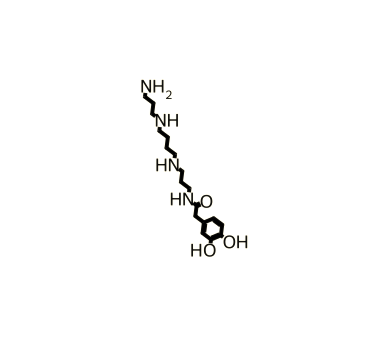 NCCCNCCCCNCCCNC(=O)Cc1ccc(O)c(O)c1